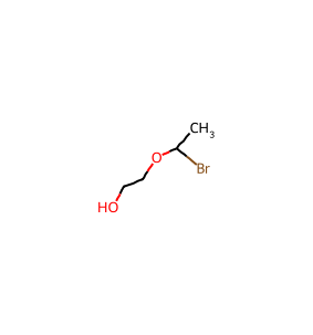 CC(Br)OCCO